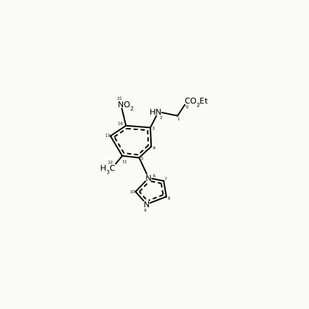 CCOC(=O)CNc1cc(-n2ccnc2)c(C)cc1[N+](=O)[O-]